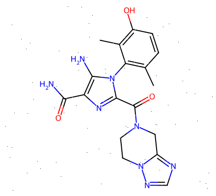 Cc1ccc(O)c(C)c1-n1c(C(=O)N2CCn3ncnc3C2)nc(C(N)=O)c1N